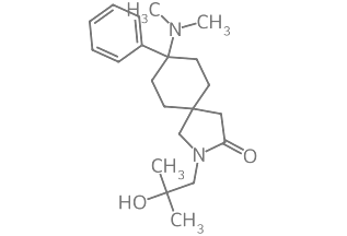 CN(C)C1(c2ccccc2)CCC2(CC1)CC(=O)N(CC(C)(C)O)C2